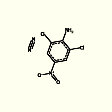 N#N.Nc1c(Cl)cc([N+](=O)[O-])cc1Cl